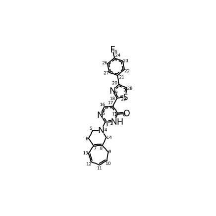 O=c1[nH]c(N2CCC3=C(CC=CC=C3)C2)ncc1-c1nc(-c2ccc(F)cc2)cs1